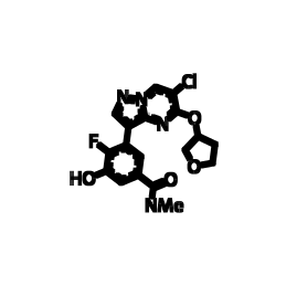 CNC(=O)c1cc(O)c(F)c(-c2cnn3cc(Cl)c(OC4CCOC4)nc23)c1